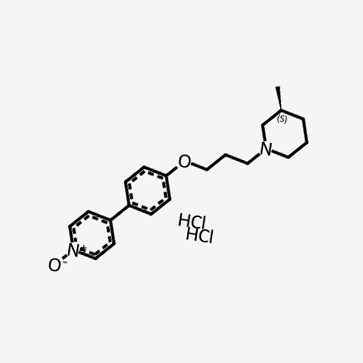 C[C@H]1CCCN(CCCOc2ccc(-c3cc[n+]([O-])cc3)cc2)C1.Cl.Cl